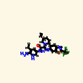 C=C[C@@H]1CC[C@@H](c2ccc3sc(C(F)(F)F)nc3c2)N(C(=N)C(=O)NC2=CC(CC)=C(N)NC2)C1